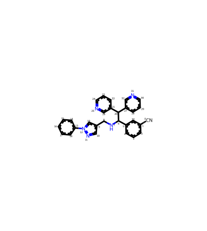 N#Cc1cccc(C(NCc2cnn(-c3ccccc3)c2)C(c2cccnc2)c2cccnc2)c1